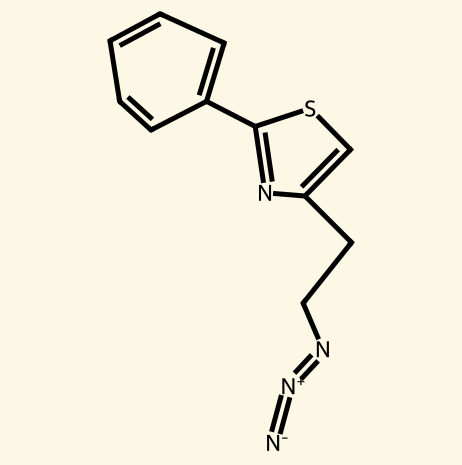 [N-]=[N+]=NCCc1csc(-c2ccccc2)n1